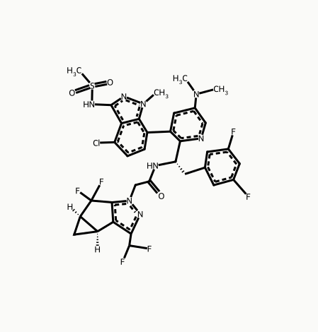 CN(C)c1cnc([C@H](Cc2cc(F)cc(F)c2)NC(=O)Cn2nc(C(F)F)c3c2C(F)(F)[C@@H]2C[C@H]32)c(-c2ccc(Cl)c3c(NS(C)(=O)=O)nn(C)c23)c1